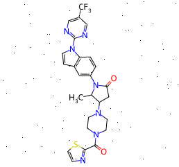 CC1C(N2CCN(C(=O)c3nccs3)CC2)CC(=O)N1c1ccc2c(ccn2-c2ncc(C(F)(F)F)cn2)c1